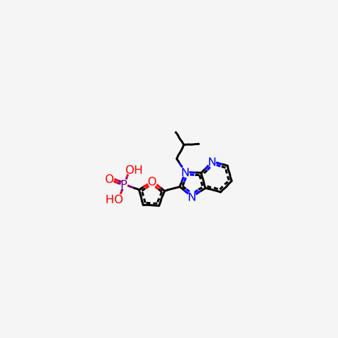 CC(C)Cn1c(-c2ccc(P(=O)(O)O)o2)nc2cccnc21